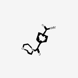 CNC(=O)c1ccc(C(=O)N2CCOCC2)cc1